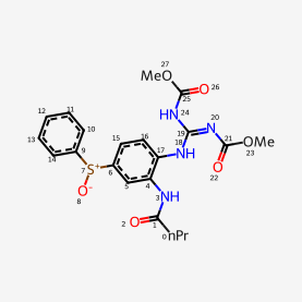 CCCC(=O)Nc1cc([S+]([O-])c2ccccc2)ccc1NC(=NC(=O)OC)NC(=O)OC